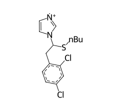 CCCCSC(Cc1ccc(Cl)cc1Cl)N1C=C[N+]=C1